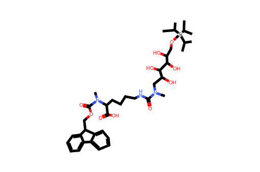 CC(C)[Si](OCC(O)C(O)C(O)C(O)CN(C)C(=O)NCCCCC(C(=O)O)N(C)C(=O)OCC1c2ccccc2-c2ccccc21)(C(C)C)C(C)C